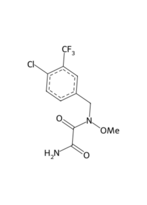 CON(Cc1ccc(Cl)c(C(F)(F)F)c1)C(=O)C(N)=O